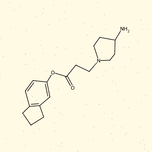 NC1CCN(CCC(=O)Oc2ccc3c(c2)CCC3)CC1